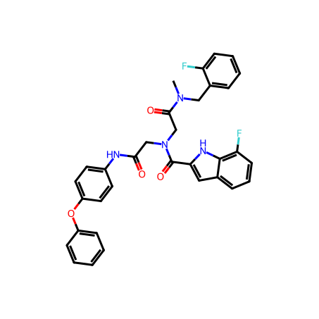 CN(Cc1ccccc1F)C(=O)CN(CC(=O)Nc1ccc(Oc2ccccc2)cc1)C(=O)c1cc2cccc(F)c2[nH]1